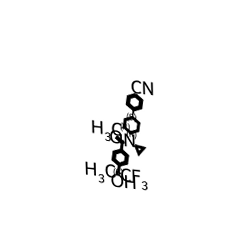 C[C@@H]1C[C@@H](c2ccc(C#N)cc2)CC[C@H]1N(C(=O)c1ccc([C@](C)(O)C(F)(F)F)cc1)C1CC1